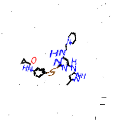 CC1=NNC(Nc2cc(NCCN3CCCCC3)nc(Sc3ccc(NC(=O)C4CC4)cc3)n2)C1